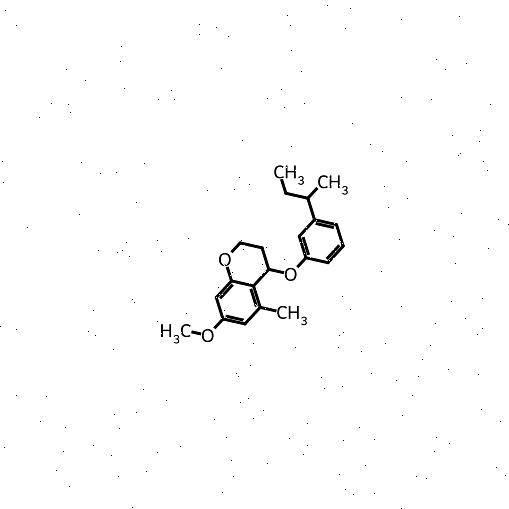 CCC(C)c1cccc(OC2CCOc3cc(OC)cc(C)c32)c1